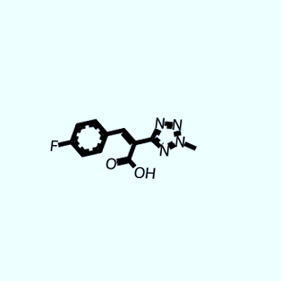 Cn1nnc(C(=Cc2ccc(F)cc2)C(=O)O)n1